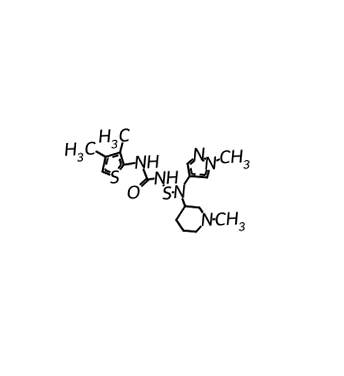 Cc1csc(NC(=O)NSN(c2cnn(C)c2)C2CCCN(C)C2)c1C